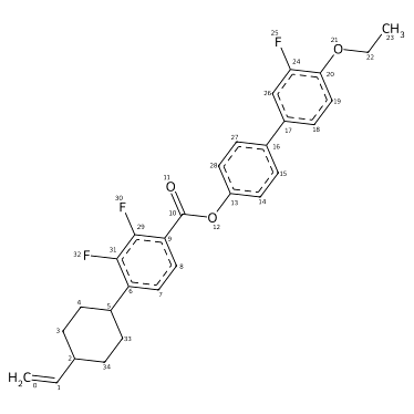 C=CC1CCC(c2ccc(C(=O)Oc3ccc(-c4ccc(OCC)c(F)c4)cc3)c(F)c2F)CC1